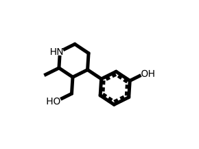 CC1NCCC(c2cccc(O)c2)C1CO